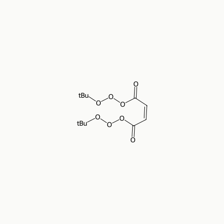 CC(C)(C)OOOC(=O)/C=C\C(=O)OOOC(C)(C)C